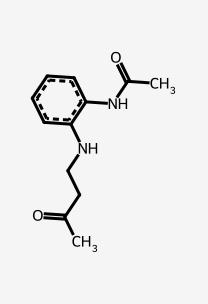 CC(=O)CCNc1ccccc1NC(C)=O